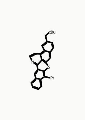 CC(C)c1c2c(cc3ccccc13)-c1nccc3c1c(cc1ccc(CC(C)(C)C)cc13)S2